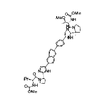 COC(=O)N[C@H](C(=O)N1CCC[C@H]1c1ncc(-c2ccc3cc(-c4ccc(C5=CNC([C@]6(C)CCCN6C(=O)[C@@H](NC(=O)OC)[C@@H](C)OC)N5)cc4)ccc3c2)[nH]1)C(C)C